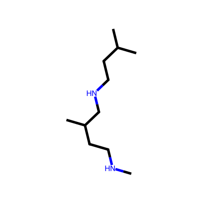 CNCCC(C)CNCCC(C)C